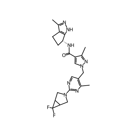 Cc1nc(N2CC3C(C2)C3(F)F)ncc1Cn1cc(C(=O)N[C@@H]2CCc3c(C)n[nH]c32)c(C)n1